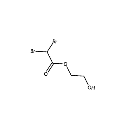 O=C(OCCO)C(Br)Br